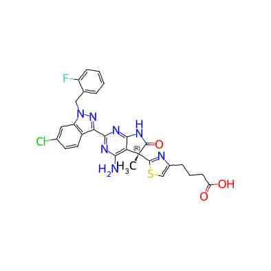 C[C@]1(c2nc(CCCC(=O)O)cs2)C(=O)Nc2nc(-c3nn(Cc4ccccc4F)c4cc(Cl)ccc34)nc(N)c21